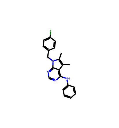 Cc1c(C)n(Cc2ccc(F)cc2)c2ncnc(Nc3ccccc3)c12